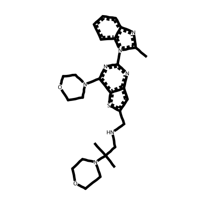 Cc1nc2ccccc2n1-c1nc(N2CCOCC2)c2sc(CNCC(C)(C)N3CCOCC3)cc2n1